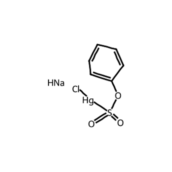 O=[S](=O)(Oc1ccccc1)[Hg][Cl].[NaH]